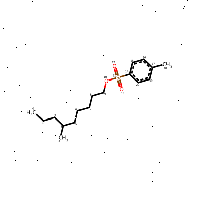 CCCC(C)CCCCCOS(=O)(=O)c1ccc(C)cc1